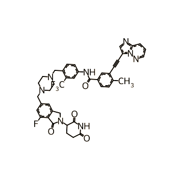 Cc1ccc(C(=O)Nc2ccc(CN3CCN(Cc4cc(F)c5c(c4)CN(C4CCC(=O)NC4=O)C5=O)CC3)c(C(F)(F)F)c2)cc1C#Cc1cnc2cccnn12